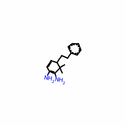 CC1(C)C(N)=C(N)C=CC1CCc1ccccc1